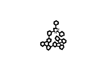 c1ccc(-c2cc(-c3cccc(-c4ccc5c(c4)c4ccccc4c4cccc(-c6ccc7c(c6)-c6ccccc6C76c7ccccc7-c7ccccc76)c45)c3)nc(-c3ccccc3)n2)cc1